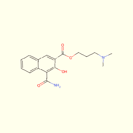 CN(C)CCCOC(=O)c1cc2ccccc2c(C(N)=O)c1O